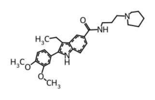 CCc1c(-c2ccc(OC)c(OC)c2)[nH]c2ccc(C(=O)NCCCN3CCCCC3)cc12